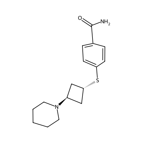 NC(=O)c1ccc(S[C@H]2C[C@H](N3CCCCC3)C2)cc1